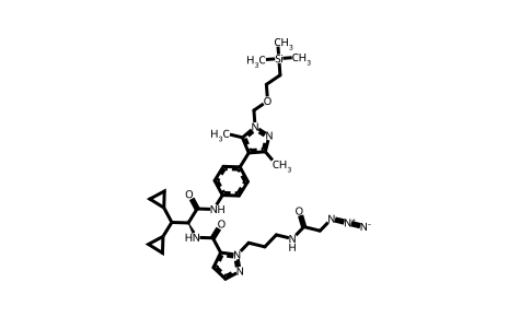 Cc1nn(COCC[Si](C)(C)C)c(C)c1-c1ccc(NC(=O)[C@@H](NC(=O)c2ccnn2CCCNC(=O)CN=[N+]=[N-])C(C2CC2)C2CC2)cc1